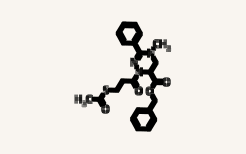 CC(=O)SCCC(=O)N1N=C(c2ccccc2)N(C)CC1C(=O)OCc1ccccc1